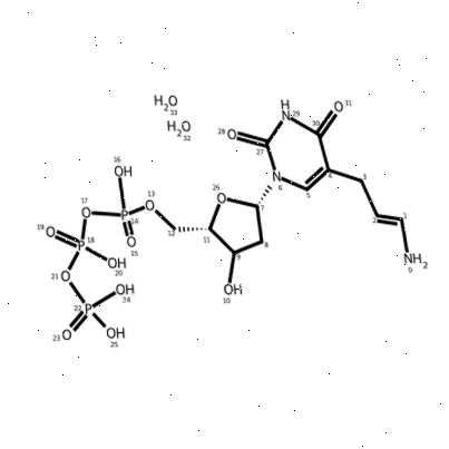 NC=CCc1cn([C@@H]2CC(O)[C@H](COP(=O)(O)OP(=O)(O)OP(=O)(O)O)O2)c(=O)[nH]c1=O.O.O